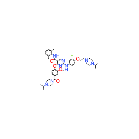 COc1cc(C(=O)N2CCN(C(C)C)CC2)ccc1Oc1nc(Nc2ccc(OCCN3CCN(C(C)C)CC3)c(F)c2)ncc1C(=O)Nc1c(C)cccc1C